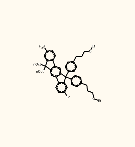 Bc1ccc2c(c1)C(CCCCCCCC)(CCCCCCCC)c1cc3c(cc1-2)C(c1ccc(CCCOCC)cc1)(c1ccc(CCCOCC)cc1)c1cc(Br)ccc1-3